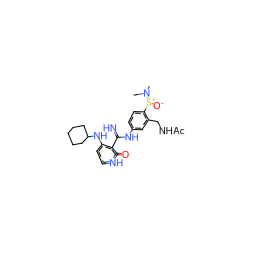 CC(=O)NCc1cc(NC(=N)c2c(NC3CCCCC3)cc[nH]c2=O)ccc1[S+]([O-])N(C)C